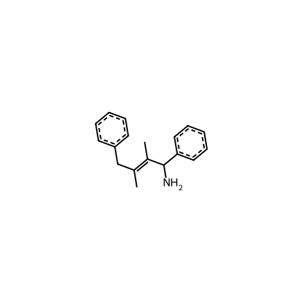 CC(Cc1ccccc1)=C(C)C(N)c1ccccc1